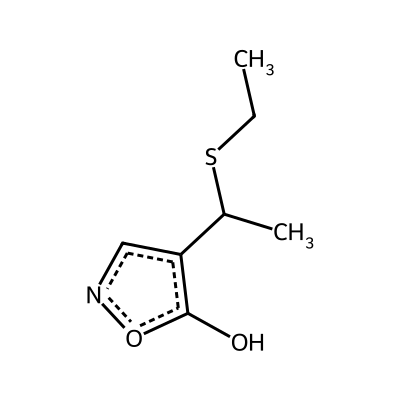 CCSC(C)c1cnoc1O